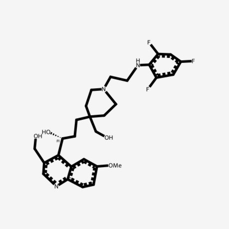 COc1ccc2ncc(CO)c([C@H](O)CCC3(CO)CCN(CCNc4c(F)cc(F)cc4F)CC3)c2c1